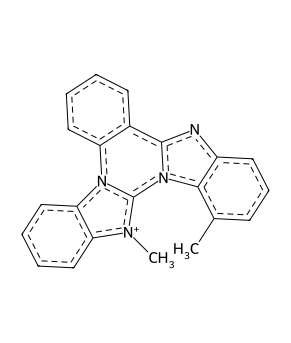 Cc1cccc2nc3c4ccccc4n4c5ccccc5[n+](C)c4n3c12